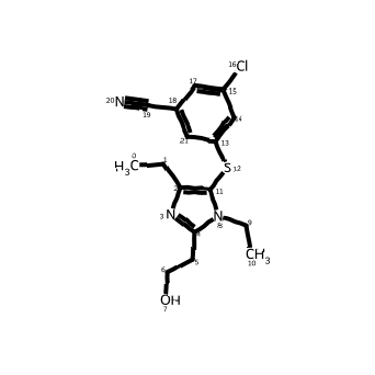 CCc1nc(CCO)n(CC)c1Sc1cc(Cl)cc(C#N)c1